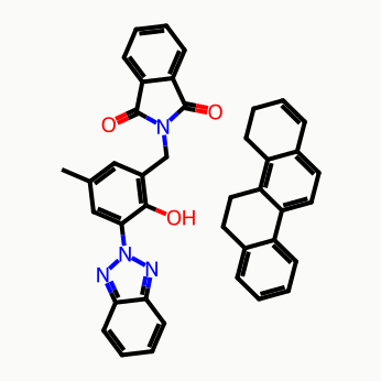 C1=Cc2ccc3c(c2CC1)CCc1ccccc1-3.Cc1cc(CN2C(=O)c3ccccc3C2=O)c(O)c(-n2nc3ccccc3n2)c1